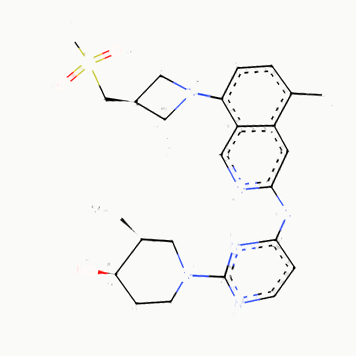 CO[C@H]1CN(c2nccc(Nc3cc4c(C(C)C)ccc(N5C[C@H](CS(C)(=O)=O)[C@H]5C)c4cn3)n2)CC[C@H]1O